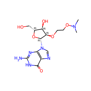 CN(C)OCCO[C@@H]1[C@H](O)[C@@H](CO)O[C@H]1n1cnc2c(=O)[nH]c(N)nc21